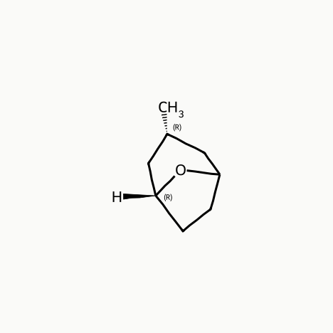 C[C@@H]1CC2CC[C@H](C1)O2